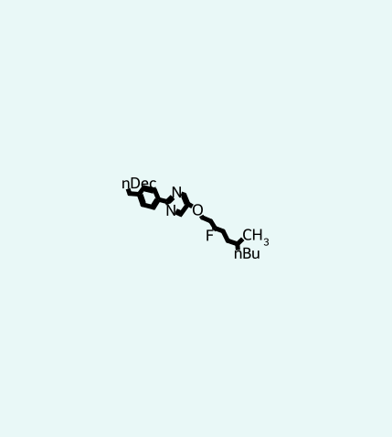 CCCCCCCCCCCc1ccc(-c2ncc(OCCC(F)CCC(C)CCCC)cn2)cc1